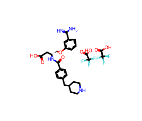 N=C(N)c1cccc(OC[C@@H](CC(=O)O)NC(=O)c2ccc(CC3CCNCC3)cc2)c1.O=C(O)C(F)(F)F.O=C(O)C(F)(F)F